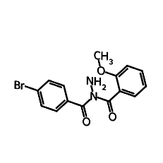 COc1ccccc1C(=O)N(N)C(=O)c1ccc(Br)cc1